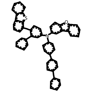 c1ccc(-c2ccc(-c3ccc(N(c4ccc(-c5cccc6c5sc5ccccc56)c(-c5ccccc5)c4)c4ccc5oc6ccccc6c5c4)cc3)cc2)cc1